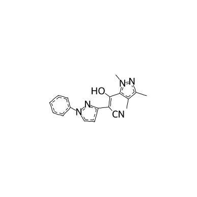 Cc1nn(C)c(C(O)=C(C#N)c2ccn(-c3ccccc3)n2)c1C